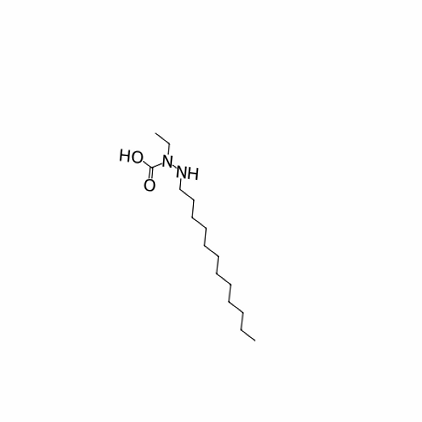 CCCCCCCCCCCCNN(CC)C(=O)O